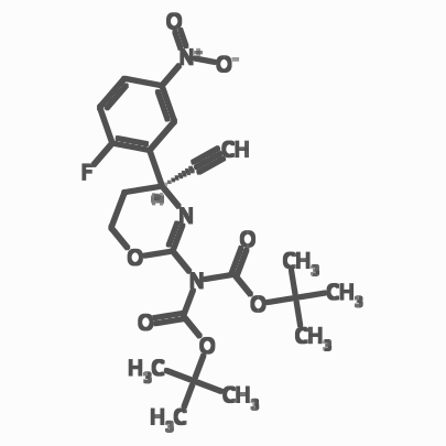 C#C[C@@]1(c2cc([N+](=O)[O-])ccc2F)CCOC(N(C(=O)OC(C)(C)C)C(=O)OC(C)(C)C)=N1